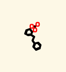 O=C1OC2C=CC=C(CCc3ccccc3)C2O1